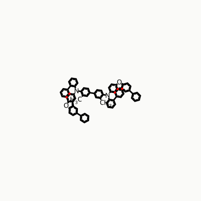 Cc1cc(-c2ccc(N(c3ccc4oc5ccc(-c6ccccc6)cc5c4c3)c3ccccc3-c3ccccc3)c(C)c2)ccc1N(c1ccc2oc3ccc(-c4ccccc4)cc3c2c1)c1ccccc1-c1ccccc1